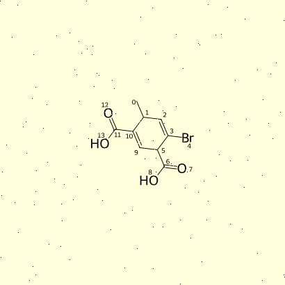 CC1C=C(Br)C(C(=O)O)C=C1C(=O)O